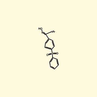 CCCC(=NO)c1ccc(S(=O)(=O)c2ccccc2)cc1